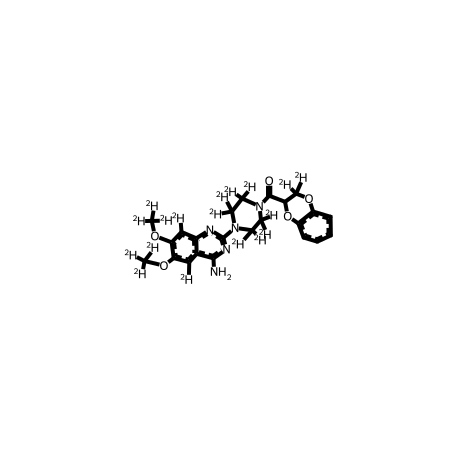 [2H]c1c(OC([2H])([2H])[2H])c(OC([2H])([2H])[2H])c([2H])c2c(N)nc(N3C([2H])([2H])C([2H])([2H])N(C(=O)C4Oc5ccccc5OC4([2H])[2H])C([2H])([2H])C3([2H])[2H])nc12